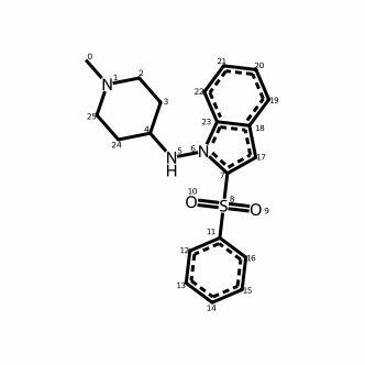 CN1CCC(Nn2c(S(=O)(=O)c3ccccc3)cc3ccccc32)CC1